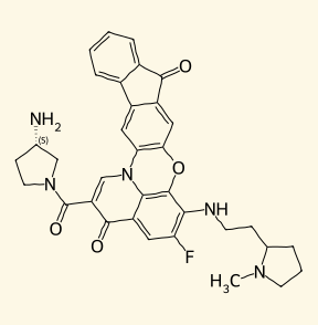 CN1CCCC1CCNc1c(F)cc2c(=O)c(C(=O)N3CC[C@H](N)C3)cn3c4cc5c(cc4oc1c23)c(=O)c1ccccc15